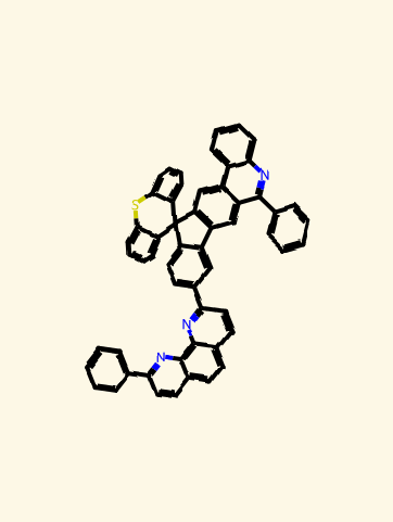 c1ccc(-c2ccc3ccc4ccc(-c5ccc6c(c5)-c5cc7c(-c8ccccc8)nc8ccccc8c7cc5C65c6ccccc6Sc6ccccc65)nc4c3n2)cc1